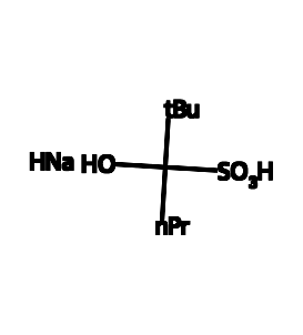 CCCC(O)(C(C)(C)C)S(=O)(=O)O.[NaH]